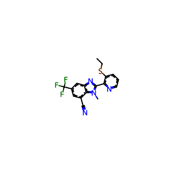 CCSc1cccnc1-c1nc2cc(C(F)(F)F)cc(C#N)c2n1C